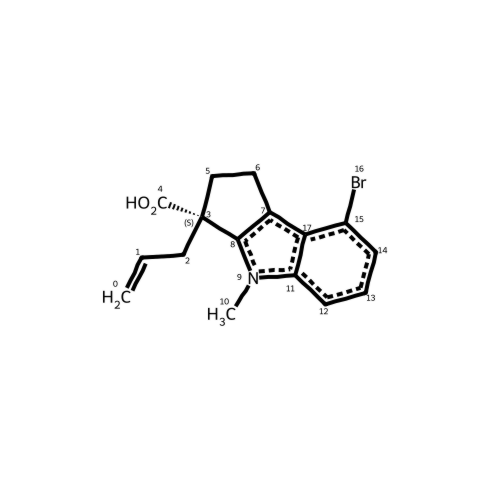 C=CC[C@@]1(C(=O)O)CCc2c1n(C)c1cccc(Br)c21